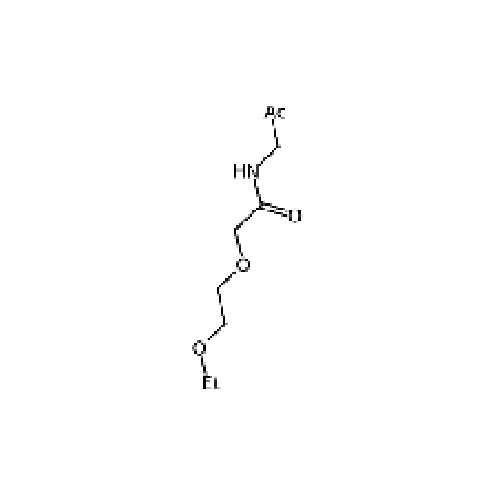 CCOCCOCC(=O)NCC(C)=O